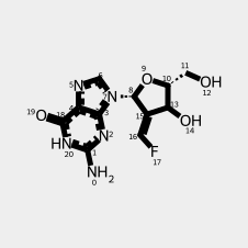 Nc1nc2c(ncn2[C@@H]2O[C@H](CO)C(O)C2=CF)c(=O)[nH]1